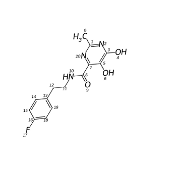 Cc1nc(O)c(O)c(C(=O)NCCc2ccc(F)cc2)n1